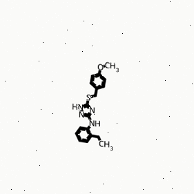 CCc1ccccc1Nc1n[nH]c(SCc2ccc(OC)cc2)n1